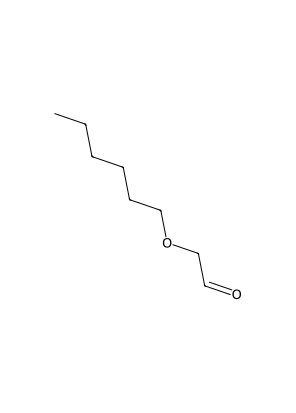 CCCCCCOCC=O